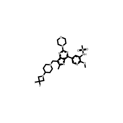 COc1ncc(-c2nc(N3CCOCC3)nc3c(CN4CCC(N5CC(F)(I)C5)CC4)c(C)sc23)cc1NS(C)(=O)=O